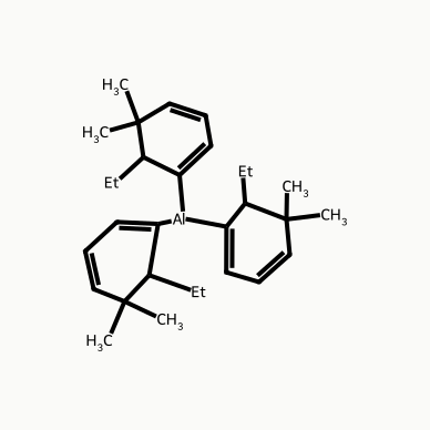 CCC1[C]([Al]([C]2=CC=CC(C)(C)C2CC)[C]2=CC=CC(C)(C)C2CC)=CC=CC1(C)C